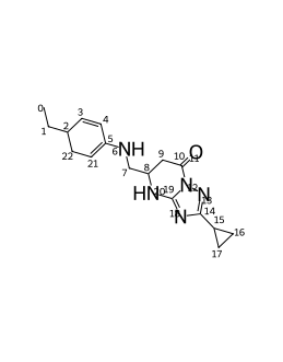 CCC1C=CC(NCC2CC(=O)n3nc(C4CC4)nc3N2)=CC1